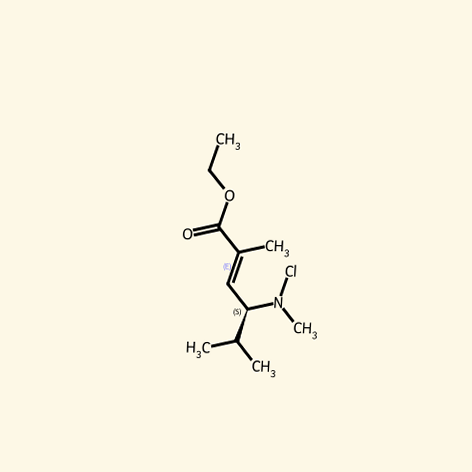 CCOC(=O)/C(C)=C/[C@H](C(C)C)N(C)Cl